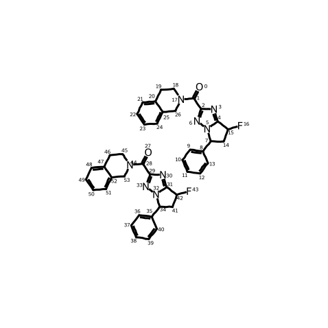 O=C(c1nc2n(n1)C(c1ccccc1)CC2F)N1CCc2ccccc2C1.O=C(c1nc2n(n1)C(c1ccccc1)CC2F)N1CCc2ccccc2C1